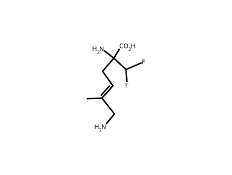 C/C(=C\CC(N)(C(=O)O)C(F)F)CN